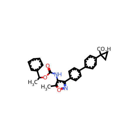 Cc1onc(-c2ccc(-c3ccc(C4(C(=O)O)CC4)cc3)cc2)c1NC(=O)OC(C)c1ccccc1